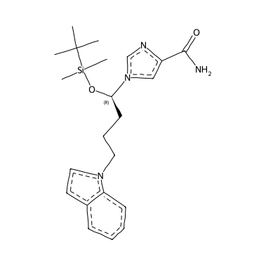 CC(C)(C)[Si](C)(C)O[C@H](CCCn1ccc2ccccc21)n1cnc(C(N)=O)c1